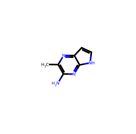 Cc1nc2cc[nH]c2nc1N